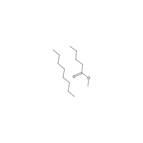 CCCCC(=O)OC.CC[CH]CCCCC